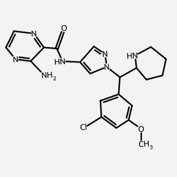 COc1cc(Cl)cc(C(C2CCCCN2)n2cc(NC(=O)c3nccnc3N)cn2)c1